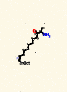 CCCCCCCC/C=C\CCCCCCCC(=O)C(C)N